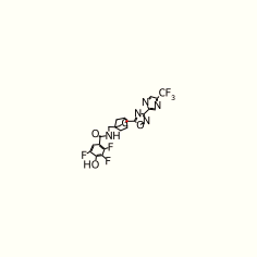 O=C(NCC12CCC(c3nc(-c4cnc(C(F)(F)F)cn4)no3)(CC1)CC2)c1cc(F)c(O)c(F)c1F